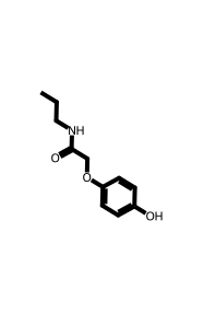 CCCNC(=O)COc1ccc(O)cc1